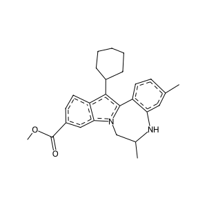 COC(=O)c1ccc2c(C3CCCCC3)c3n(c2c1)CC(C)Nc1cc(C)ccc1-3